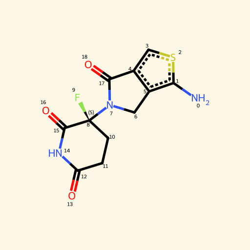 Nc1scc2c1CN([C@]1(F)CCC(=O)NC1=O)C2=O